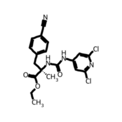 CCOC(=O)[C@@](C)(Cc1ccc(C#N)cc1)NC(=O)Nc1cc(Cl)nc(Cl)c1